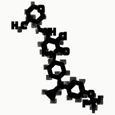 C[C@@H]1CCOC[C@@H]1CNc1cnn([C@H]2CC[C@H](N(c3ccc(OC(F)(F)F)cc3)C3CC3)CC2)c(=O)c1Cl